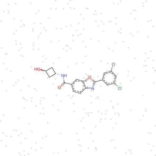 O=C(N[C@H]1C[C@H](O)C1)c1ccc2nc(-c3cc(Cl)cc(Cl)c3)oc2c1